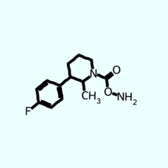 CC1C(c2ccc(F)cc2)CCCN1C(=O)ON